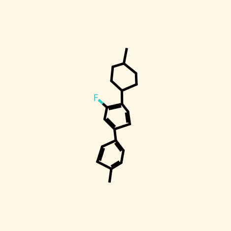 Cc1ccc(-c2ccc(C3CCC(C)CC3)c(F)c2)cc1